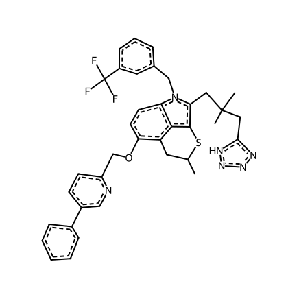 CC1Cc2c(OCc3ccc(-c4ccccc4)cn3)ccc3c2c(c(CC(C)(C)Cc2nnn[nH]2)n3Cc2cccc(C(F)(F)F)c2)S1